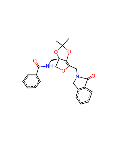 CC1(C)OC2=C(CN3Cc4ccccc4C3=O)OC[C@]2(CNC(=O)c2ccccc2)O1